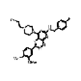 COc1ccc(-c2nnc3nc(NCc4ccc(F)cc4)nc(N4CCN(CCC(C)C)CC4)c3n2)cc1OC